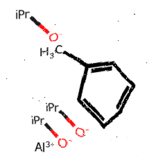 CC(C)[O-].CC(C)[O-].CC(C)[O-].Cc1ccccc1.[Al+3]